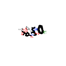 COc1cc(C(=O)N2CCC3(CC2)Oc2cc(Cl)ccc2-n2cccc23)ccc1C1(OC)COC1